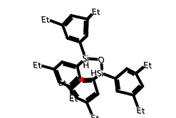 CCc1cc(CC)cc([SiH](O[SiH](c2cc(CC)cc(CC)c2)c2cc(CC)cc(CC)c2)c2cc(CC)cc(CC)c2)c1